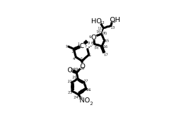 C=C=C(C)CC(CC[C@@H]1O[C@@H](C(O)CO)CC1=C)OC(=O)c1ccc([N+](=O)[O-])cc1